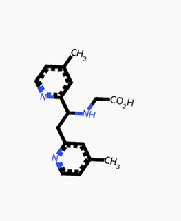 Cc1ccnc(CC(NCC(=O)O)c2cc(C)ccn2)c1